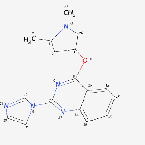 CC1CC(Oc2nc(-n3ccnc3)nc3ccccc23)CN1C